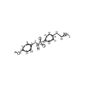 COc1ccc(CNS(=O)(=O)c2ccc(CCN)cc2)cc1